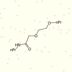 CCCNC(=O)COCCOCCC